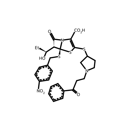 CC[C@H](O)[C@@H]1C(=O)N2C(C(=O)O)=C(SC3CCN(CCC(=O)c4ccccc4)C3)S[C@]12SCc1ccc([N+](=O)[O-])cc1